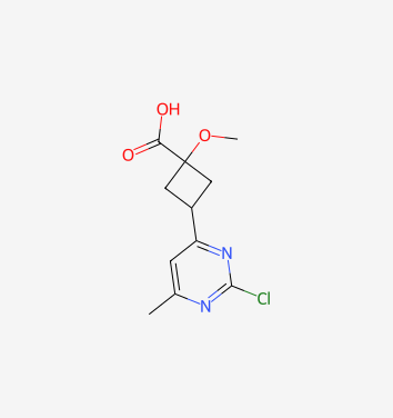 COC1(C(=O)O)CC(c2cc(C)nc(Cl)n2)C1